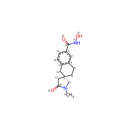 CN1C[C@]2(CCc3cc(C(=O)NO)ccc3C2)CC1=O